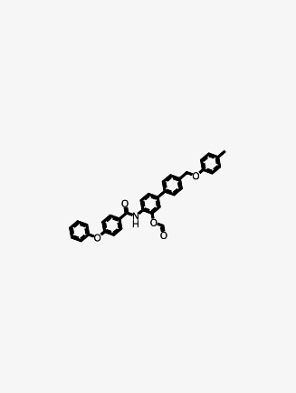 Cc1ccc(OCc2ccc(-c3ccc(NC(=O)c4ccc(Oc5ccccc5)cc4)c(OC=O)c3)cc2)cc1